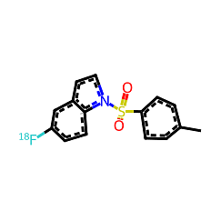 Cc1ccc(S(=O)(=O)n2ccc3cc([18F])ccc32)cc1